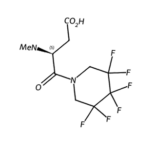 CN[C@@H](CC(=O)O)C(=O)N1CC(F)(F)C(F)(F)C(F)(F)C1